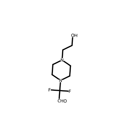 O=CC(F)(F)N1CCN(CCO)CC1